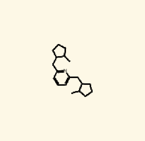 CC1CCCC1Cc1cccc(CC2CCCC2C)n1